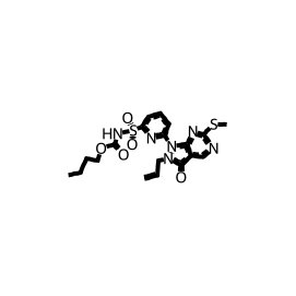 C=CCn1c(=O)c2cnc(SC)nc2n1-c1cccc(S(=O)(=O)NC(=O)OCCCC)n1